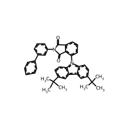 CC(C)(C)c1ccc2c(c1)c1cc(C(C)(C)C)ccc1n2-c1cccc2c1C(=O)N(c1cccc(-c3ccccc3)c1)C2=O